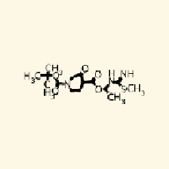 CSC(=N)NC(C)OC(=O)C1CCN(C(=O)OC(C)(C)C)CC1=O